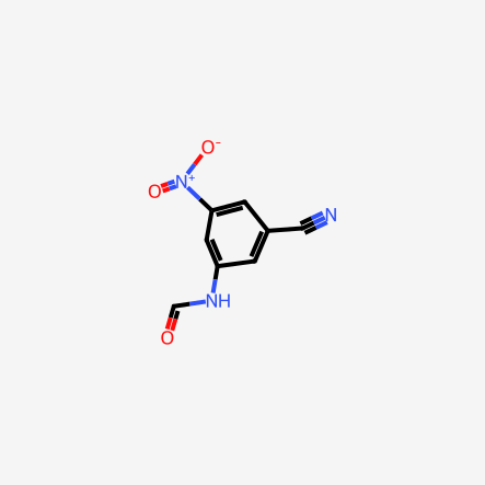 N#Cc1cc(NC=O)cc([N+](=O)[O-])c1